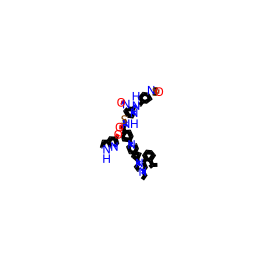 CCN1CCN(C2CC3(CCN(c4ccc(C(=O)NSc5cnc(NCC6CCC(N=S(C)(C)=O)CC6)c(N=O)c5)c(Oc5cnc6[nH]ccc6c5)c4)CC3)C2)C(c2ccccc2C(C)C)C1